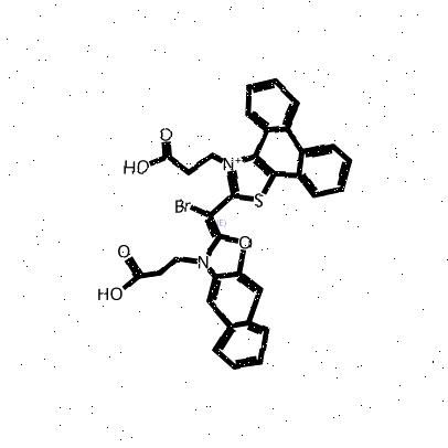 O=C(O)CCN1/C(=C(\Br)c2sc3c4ccccc4c4ccccc4c3[n+]2CCC(=O)O)Oc2cc3ccccc3cc21